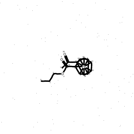 CCCOC(=O)[C]12[CH]3[CH]4[CH]5[CH]1[Fe]45321678[CH]2[CH]1[CH]6[C]7(C(C)=O)[CH]28